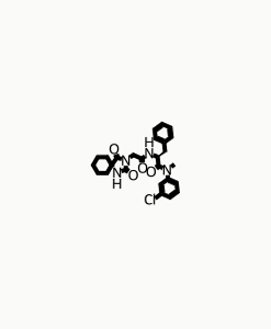 CN(C(=O)[C@H](Cc1ccccc1)NC(=O)CN1C(=O)NC2(CCCCC2)C1=O)c1cccc(Cl)c1